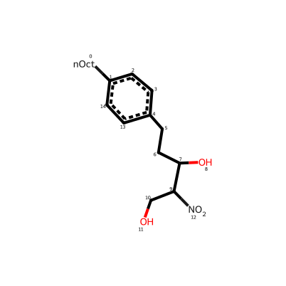 CCCCCCCCc1ccc(CCC(O)C(CO)[N+](=O)[O-])cc1